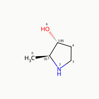 C[C@@H]1NCC[C@H]1O